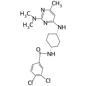 Cc1cc(N[C@H]2CC[C@@H](NC(=O)c3ccc(Cl)c(Cl)c3)CC2)nc(N(C)C)n1